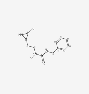 CC1NC1CCN(C)C(=O)OCc1ccccc1